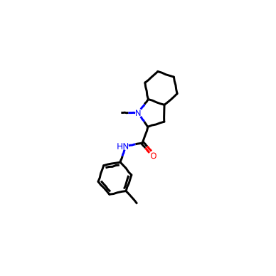 Cc1cccc(NC(=O)C2CC3CCCCC3N2C)c1